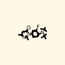 Cc1cc(=O)n(-c2ccc(N(C(C)(C)C)C(C)(C)C)c(F)c2)c(C)n1